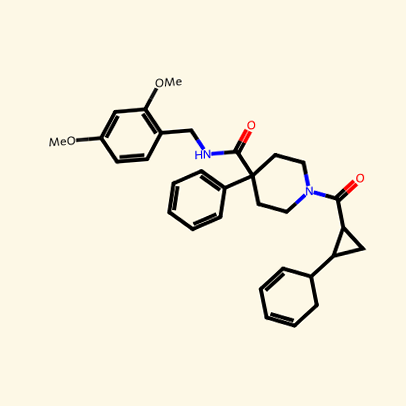 COc1ccc(CNC(=O)C2(c3ccccc3)CCN(C(=O)C3CC3C3C=CC=CC3)CC2)c(OC)c1